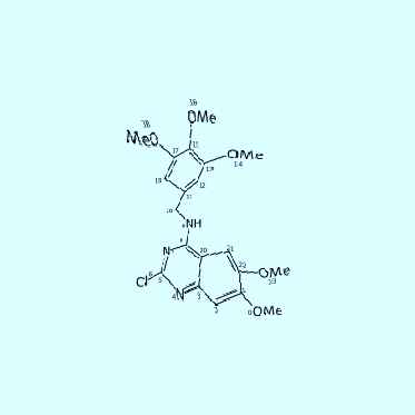 COc1cc2nc(Cl)nc(NCc3cc(OC)c(OC)c(OC)c3)c2cc1OC